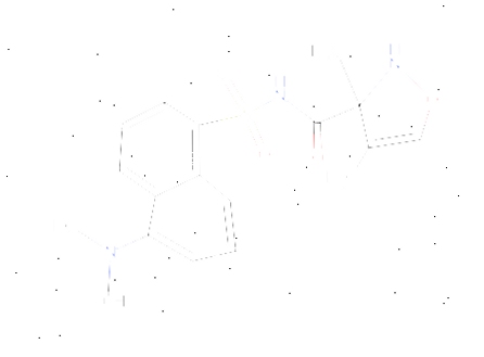 CC1=CONC1(C)C(=O)NS(=O)(=O)c1cccc2c(N(C)C)cccc12